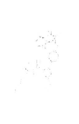 CCCCOC(=O)S(=O)(=O)Nc1sc(CCC)cc1-c1ccc(Cn2c(CC)nc3c(C)cc(C)nc32)cc1